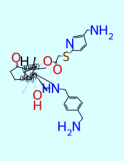 CC1CC[C@@]23CCC(=O)[C@H]2[C@]1(C)[C@H](OC(=O)CSc1ccc(CN)cn1)C[C@](C)(CNCc1ccc(CN)cc1)[C@@H](O)[C@@H]3C